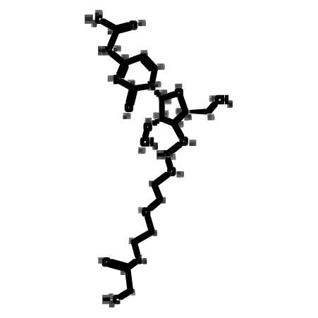 CCC(=O)SCCOCCOPOC1[C@@H](CC)O[C@@H](n2ccc(NC(C)=O)nc2=O)[C@H]1OC